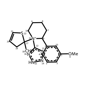 COc1cccc(C2CCCC[N+]2(c2nn[nH]n2)C2(C=O)CC=CS2)c1